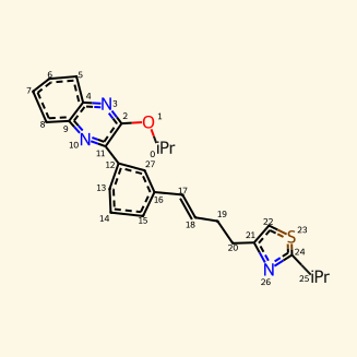 CC(C)Oc1nc2ccccc2nc1-c1cccc(/C=C/CCc2csc(C(C)C)n2)c1